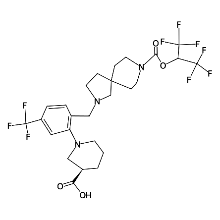 O=C(O)[C@@H]1CCCN(c2cc(C(F)(F)F)ccc2CN2CCC3(CCN(C(=O)OC(C(F)(F)F)C(F)(F)F)CC3)C2)C1